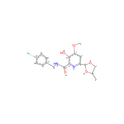 COc1cc(C2OCC(C)O2)nc(C(=O)NCc2ccc(F)cc2)c1O